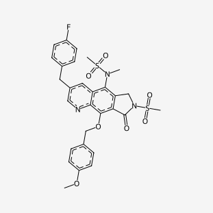 COc1ccc(COc2c3c(c(N(C)S(C)(=O)=O)c4cc(Cc5ccc(F)cc5)cnc24)CN(S(C)(=O)=O)C3=O)cc1